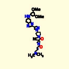 COc1cc(Nc2ccc3ncc(-c4cnn(C5CCN(C(=O)C6(C#N)CN(C(=O)/C=C/CN(C)C)C6)CC5)c4)nc3c2)cc(OC)c1